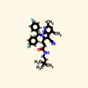 Cc1cc(C)c2c(C#N)c(C=CC(=O)NCCC(C)(C)C)n(C(c3ccc(F)cc3)c3ccc(F)cc3)c2n1